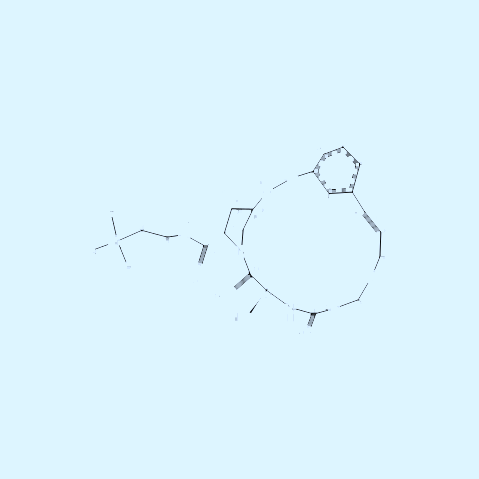 CCCC[C@@H]1NC(=O)OCCC/C=C/c2cccc(c2)CO[C@@H]2C[C@@H](C(=O)OCC[Si](C)(C)C)N(C2)C1=O